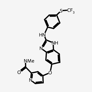 CNC(=O)c1cc(Oc2ccc3[nH]c(Nc4ccc(SC(F)(F)F)cc4)nc3c2)ccn1